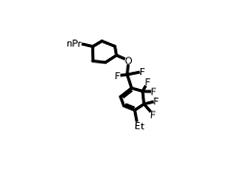 CCCC1CCC(OC(F)(F)C2=CC=C(CC)C(F)(F)C2(F)F)CC1